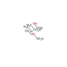 CC(=O)O.CC(=O)O.O=CO.O=S(=O)(O)O